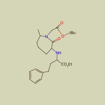 CCOC(=O)C(CCc1ccccc1)NC1CCCC(C)N(CC(=O)OC(C)(C)C)C1=O